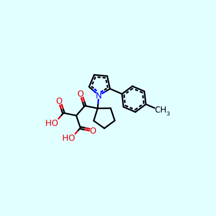 Cc1ccc(-c2cccn2C2(C(=O)C(C(=O)O)C(=O)O)CCCC2)cc1